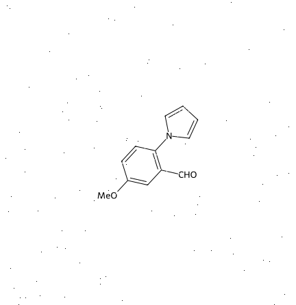 COc1ccc(-n2cccc2)c(C=O)c1